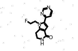 O=C1NCCc2c1cc(-c1ccncn1)n2CCF